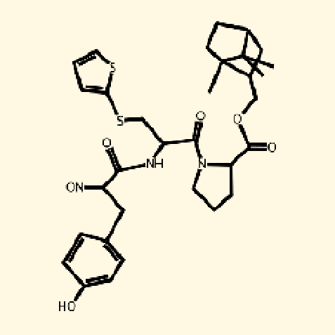 CC1(C)C2CCC1(C)C(COC(=O)C1CCCN1C(=O)C(CSc1cccs1)NC(=O)C(Cc1ccc(O)cc1)N=O)C2